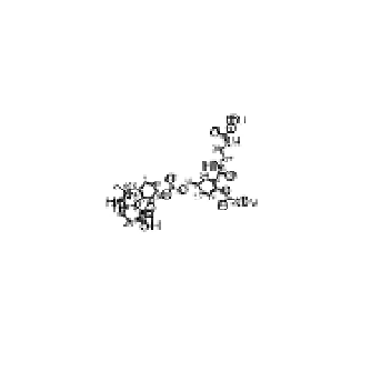 CN1CC[C@]23c4c5ccc(OC(=O)OCc6ccc(OC(=O)C(C)(C)C)c(C(=O)NCCNC(=O)OC(C)(C)C)c6)c4O[C@H]2[C@@H](O)C=C[C@H]3[C@H]1C5